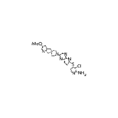 COc1cnc2c(c1)CC1(CCN(c3cnc4nc(Sc5ccnc(N)c5Cl)ccc4n3)CC1)C2